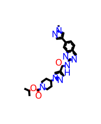 CC(C)OC(=O)N1CCC(n2cc(C(=O)Nc3ncc4ccc(-c5cnn(C)c5)cc4n3)cn2)CC1